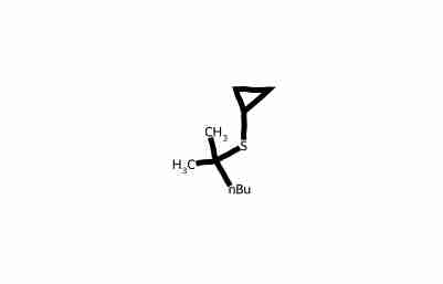 CCCCC(C)(C)SC1CC1